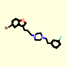 Fc1cccc(CCN2CCN(CCCc3coc4ccc(Br)cc34)CC2)c1